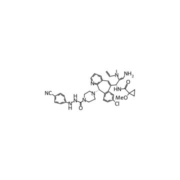 C=CN(C)/C(=C\N)[C@H](NC(=O)C1(OC)CC1)C1=Cc2cccnc2[C@@H](N2CCN(C(=O)NNc3ccc(C#N)cc3)CC2)c2ccc(Cl)cc21